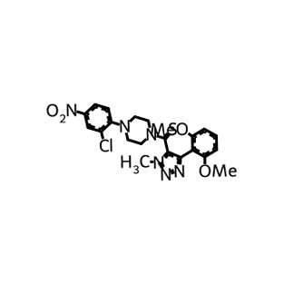 COc1cccc(OC)c1-c1nnn(C)c1C(=S)N1CCN(c2ccc([N+](=O)[O-])cc2Cl)CC1